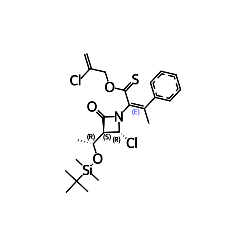 C=C(Cl)COC(=S)/C(=C(/C)c1ccccc1)N1C(=O)[C@H]([C@@H](C)O[Si](C)(C)C(C)(C)C)[C@H]1Cl